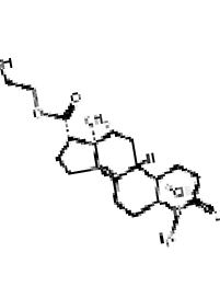 CN1C(=O)CC[C@@]2(C)C1CCC1=C3CC[C@H](C(=O)OCCO)[C@@]3(C)CC[C@@H]12